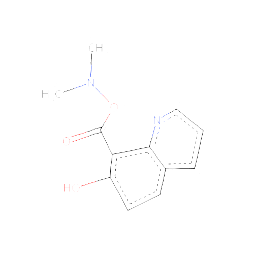 CN(C)OC(=O)c1c(O)ccc2cccnc12